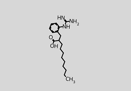 CCCCCCCCCC(Cc1ccccc1NC(=N)N)C(=O)O